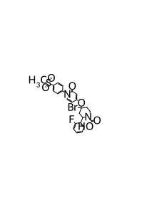 CS(=O)(=O)c1ccc(-n2ccc(OC3(Br)CCN(C(=O)O)C(c4ccccc4F)C3)cc2=O)cc1